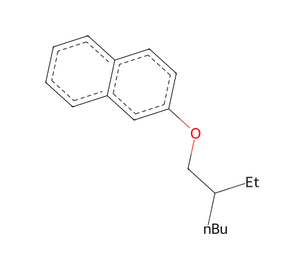 CCCCC(CC)COc1ccc2ccccc2c1